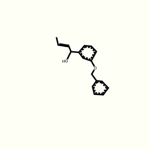 C/C=C/C(O)c1cccc(OCc2ccccc2)c1